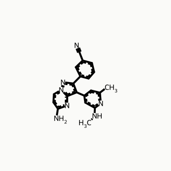 CNc1cc(-c2c(-c3cccc(C#N)c3)nn3ccc(N)nc23)cc(C)n1